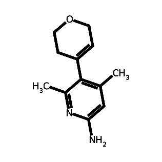 Cc1cc(N)nc(C)c1C1=CCOCC1